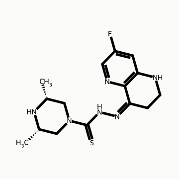 C[C@@H]1CN(C(=S)N/N=C2/CCNc3cc(F)cnc32)C[C@H](C)N1